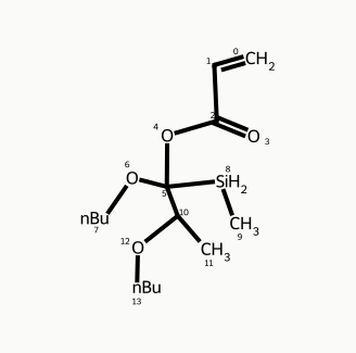 C=CC(=O)OC(OCCCC)([SiH2]C)C(C)OCCCC